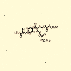 COCC(=O)OCCN(CCOC(=O)COC)C(=O)c1ccc(CNC(=O)C(C)(C)C)cc1